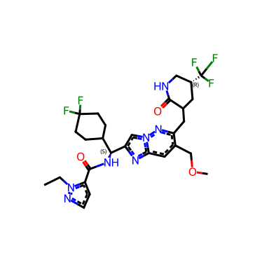 CCn1nccc1C(=O)N[C@H](c1cn2nc(CC3C[C@@H](C(F)(F)F)CNC3=O)c(COC)cc2n1)C1CCC(F)(F)CC1